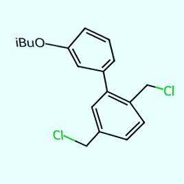 CC(C)COc1cccc(-c2cc(CCl)ccc2CCl)c1